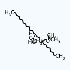 CCC.CCCCCCCCCCCCCCCCOC(CCCCCCCC)CON(C)C.Cl